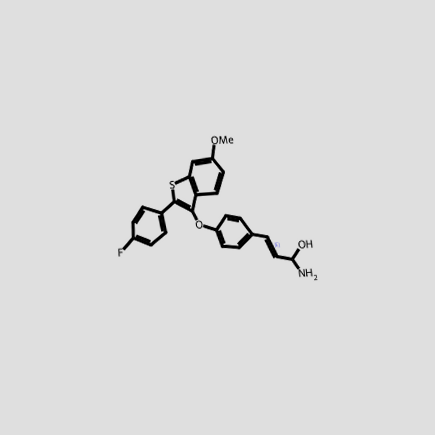 COc1ccc2c(Oc3ccc(/C=C/C(N)O)cc3)c(-c3ccc(F)cc3)sc2c1